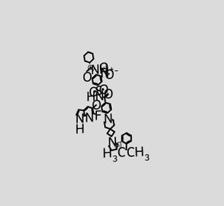 CC(C)c1ccccc1[C@@H]1CCCN1C1CC2(CCN(c3ccc(C(=O)NS(=O)(=O)c4cc5c(c([N+](=O)[O-])c4)N[C@@H](C4CCCCC4)CO5)c(Oc4cc5cc[nH]c5nc4F)c3)CC2)C1